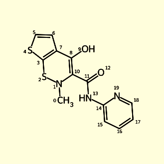 CN1Sc2sccc2C(O)=C1C(=O)Nc1ccccn1